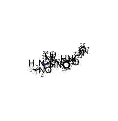 C=CCN(C)C(=O)/C(N)=C1\S[C@H](CNc2cccc(NC(=O)CCN3CCCC3)c2)C(=O)N1CC